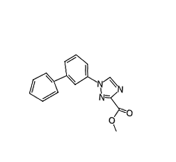 COC(=O)c1ncn(-c2cccc(-c3ccccc3)c2)n1